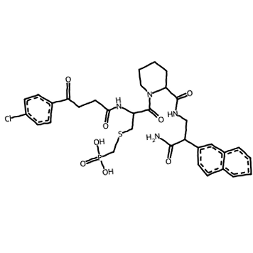 NC(=O)C(CNC(=O)C1CCCCN1C(=O)C(CSCP(=O)(O)O)NC(=O)CCC(=O)c1ccc(Cl)cc1)c1ccc2ccccc2c1